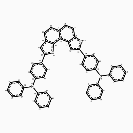 c1ccc(N(c2ccccc2)c2ccc(-c3cc4c(ccc5ccc6cc(-c7ccc(N(c8ccccc8)c8ccccc8)cc7)oc6c54)o3)cc2)cc1